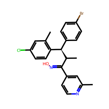 Cc1cc(/C(=N/O)C(C)[C@H](c2ccc(Br)cc2)c2ccc(Cl)cc2C)ccn1